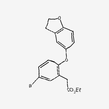 CCOC(=O)Cc1cc(Br)ccc1Oc1ccc2c(c1)CCO2